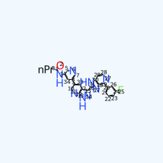 CCCC(=O)Nc1cncc(-c2cnc3[nH]nc(-c4nc5c(-c6cccc(F)c6)nccc5[nH]4)c3c2)c1